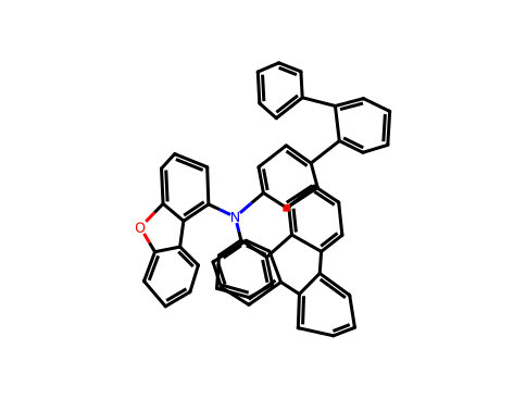 c1ccc(-c2ccccc2-c2ccc(N(c3ccccc3-c3ccccc3-c3ccccc3-c3ccccc3)c3cccc4oc5ccccc5c34)cc2)cc1